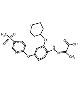 CC(=NNc1ccc(Oc2ccc(S(C)(=O)=O)cn2)cc1OC1CCOCC1)C(=O)O